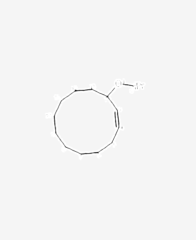 CC(C)OC1C=CCCCCCCCCC1